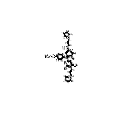 COc1ccc(-n2c3nc(=O)n(CCCN4CCCC4)c(=O)c-3nc3ccc(NCCCN4CCCC4)cc32)cc1